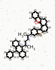 C/C(=C\C=C(/C)c1c2ccccc2c(-c2ccccc2)c2ccccc12)c1ccc2c(c1)sc1ccc3ccc4c5ccccc5oc4c3c12